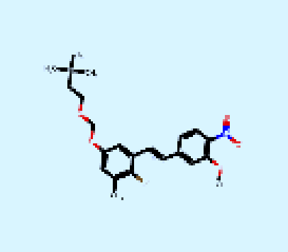 COc1cc(/C=C/c2cc(OCOCC[Si](C)(C)C)cc(C)c2Br)ccc1[N+](=O)[O-]